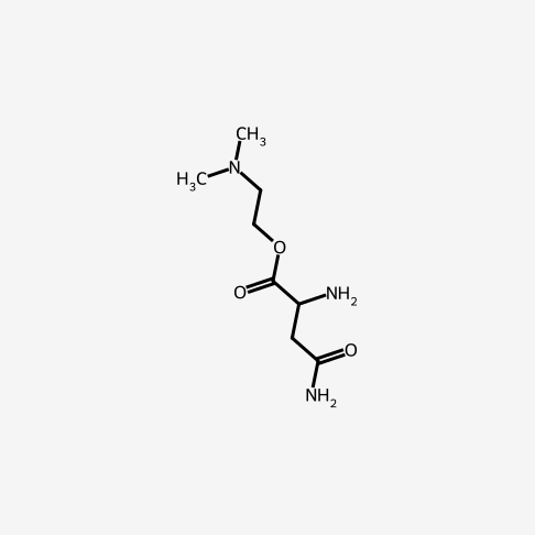 CN(C)CCOC(=O)C(N)CC(N)=O